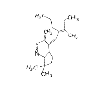 C=C1C=NC2C(CCC2(C)C)/C1=C/C(CCC)=C(\C)CC